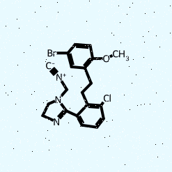 [C-]#[N+]CN1CCN=C1c1cccc(Cl)c1CCc1cc(Br)ccc1OC